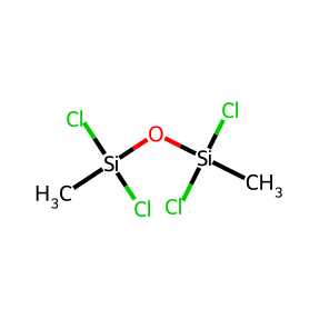 C[Si](Cl)(Cl)O[Si](C)(Cl)Cl